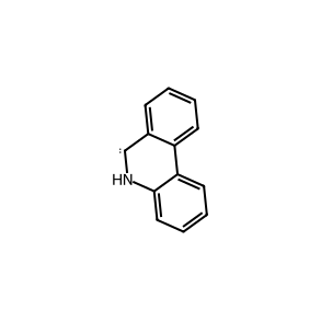 [C]1Nc2ccccc2-c2ccccc21